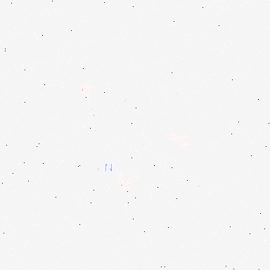 C[S+]([O-])Cc1ccccc1C(=O)c1cnoc1C1CC1